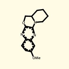 COc1ccc2nc3c(nc2c1)N1CCCCC1CO3